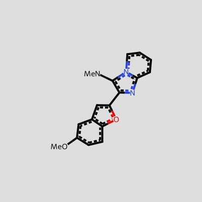 CNc1c(-c2cc3cc(OC)ccc3o2)nc2ccccn12